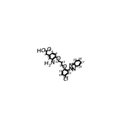 Nc1cc(CC(=O)O)ccc1OCCCOc1ccc(Cl)cc1-n1nc2ccccc2n1